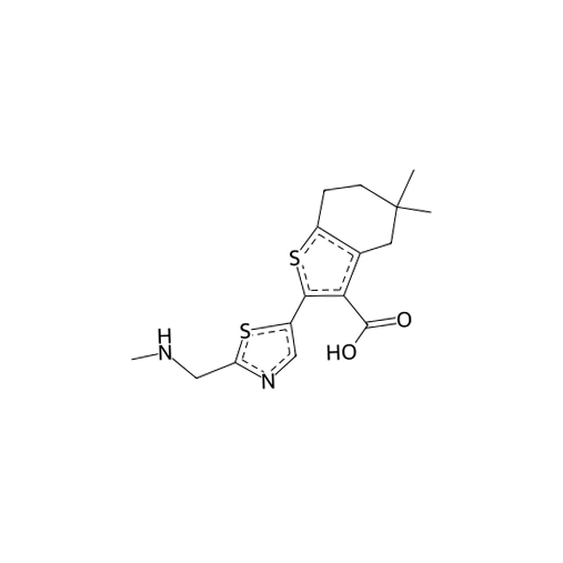 CNCc1ncc(-c2sc3c(c2C(=O)O)CC(C)(C)CC3)s1